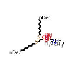 CCCCCCCCCCCCCCCCCCSCC(COP(=O)(O)OCC[N+](C)(C)C)SCCCCCCCCCCCCCCCCCC